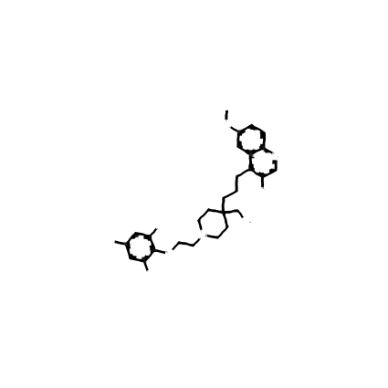 COc1ccc2ncc(Cl)c(CCCC3(CO)CCN(CCSc4c(F)cc(F)cc4F)CC3)c2c1